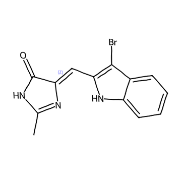 CC1=N/C(=C\c2[nH]c3ccccc3c2Br)C(=O)N1